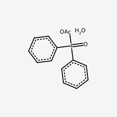 CC(=O)OI(=O)(c1ccccc1)c1ccccc1.O